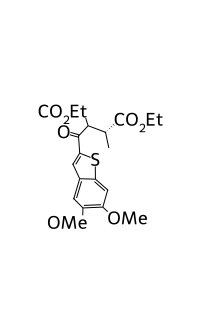 CCOC(=O)C(C(=O)c1cc2cc(OC)c(OC)cc2s1)[C@@H](C)C(=O)OCC